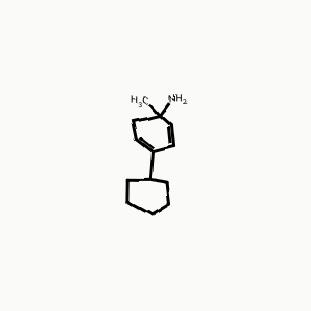 CC1(N)C=CC(C2CCCCC2)=CC1